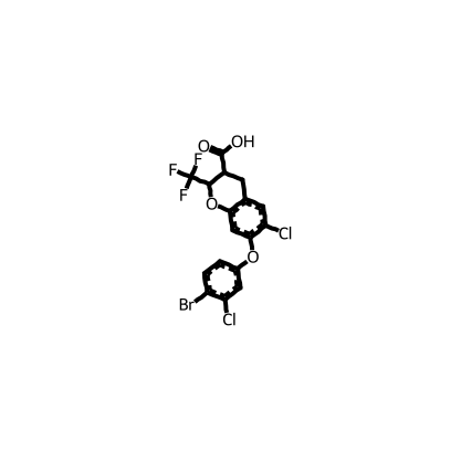 O=C(O)C1Cc2cc(Cl)c(Oc3ccc(Br)c(Cl)c3)cc2OC1C(F)(F)F